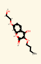 CCC(C)CCCOc1c(O)c2ccc(OCCO)cc2oc1=O